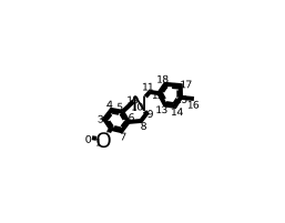 COc1ccc2c(c1)CCN(Cc1ccc(C)cc1)C2